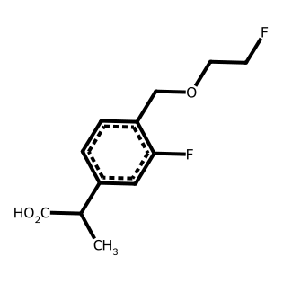 CC(C(=O)O)c1ccc(COCCF)c(F)c1